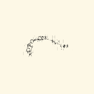 N=C(N)NCCC[C@H](N)C(=O)NCCCCCC(=O)N1Cc2ccc(NC(=O)c3ccc(CN(C(=O)c4ccc5c(c4)OCC(=O)N5)C4CC4)cc3)cc2C1